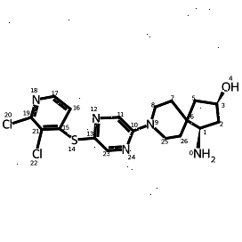 N[C@@H]1C[C@H](O)CC12CCN(c1cnc(Sc3ccnc(Cl)c3Cl)cn1)CC2